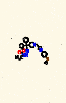 CNC(=O)O[C@H]1CCCC1C(C#N)(c1ccccc1)C1CCN(CC2CN(c3ccc(SC4CC4)cc3)C2)CC1